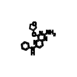 Nc1nc(OC2CCOC2)c2nc(Nc3ccccc3)ccc2n1